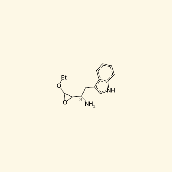 CCOC1OC1[C@@H](N)Cc1c[nH]c2ccccc12